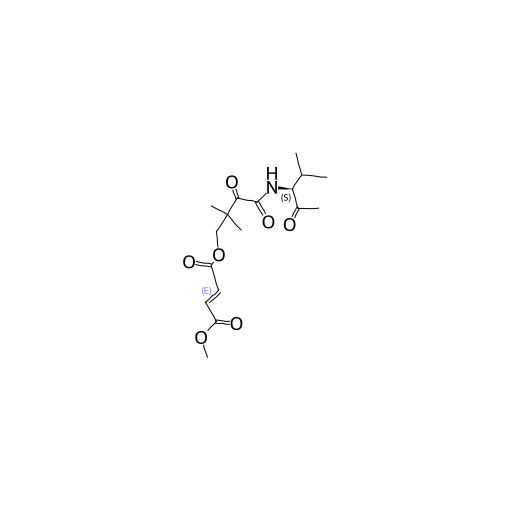 COC(=O)/C=C/C(=O)OCC(C)(C)C(=O)C(=O)N[C@H](C(C)=O)C(C)C